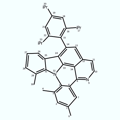 Cc1cc(C)c2c(c1)c1nccc3cc(-c4c(C(C)C)cc(C(C)C)cc4C(C)C)c4c5cccc(C)c5n2c4c31